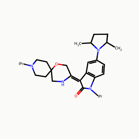 CC(C)N1CCC2(CC1)CN/C(=C1\C(=O)N(C(C)C)c3ccc(N4C(C)CCC4C)cc31)CO2